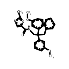 Cc1ncc(C(=O)NCC(Cc2ccccc2)(c2cccc(OC(F)(F)F)c2)c2cccc(OC(F)(F)F)c2)s1